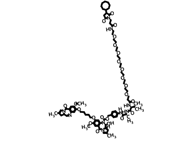 COc1cc2c(cc1OCCCCCOc1cc3c(cc1OC)C(=O)N1C=C(C)C[C@H]1[C@H](O)N3C(=O)OCc1ccc(NC(=O)[C@H](C)NC(=O)[C@@H](NC(=O)CCOCCOCCOCCOCCOCCOCCOCCOCCNC(=O)CCN3C(=O)CC(C4CCCCCCC4)C3=O)C(C)C)cc1)N=CC1CC(C)=CN1C2=O